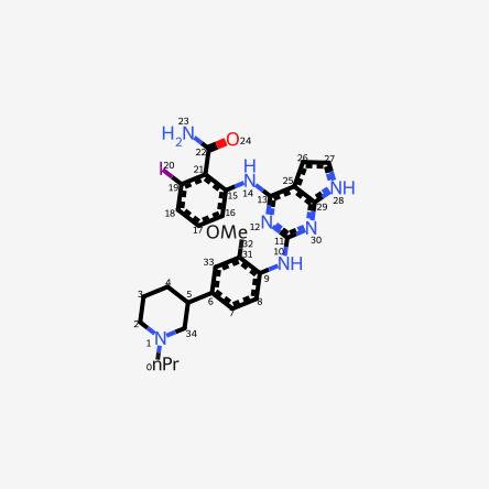 CCCN1CCCC(c2ccc(Nc3nc(Nc4cccc(I)c4C(N)=O)c4cc[nH]c4n3)c(OC)c2)C1